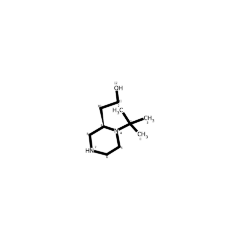 CC(C)(C)N1CCNC[C@H]1CCO